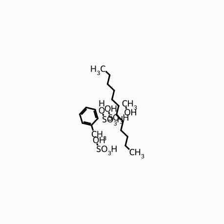 CCCCCCCCCCCC.CO.Cc1ccccc1.O=S(=O)(O)O.O=S(=O)(O)O.O=S(=O)(O)O